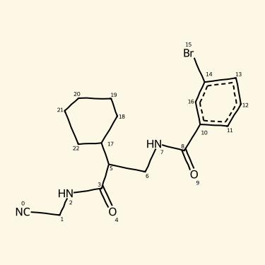 N#CCNC(=O)C(CNC(=O)c1cccc(Br)c1)C1CCCCC1